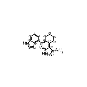 Nc1n[nH]c2nc(-c3cccc4[nH]ncc34)c3c(c12)CCCC3